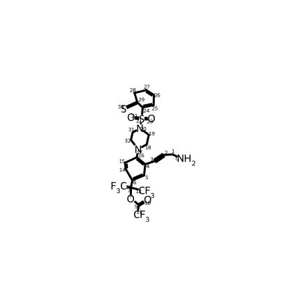 NCC#Cc1cc(C(OC(=O)C(F)(F)F)(C(F)(F)F)C(F)(F)F)ccc1N1CCN(S(=O)(=O)C2=CC=CCC2=S)CC1